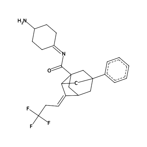 NC1CCC(=NC(=O)C23CC4CC(c5ccccc5)(CC2/C4=C\CC(F)(F)F)C3)CC1